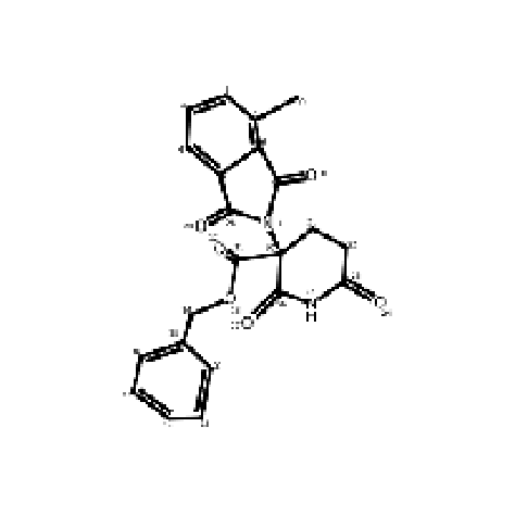 Cc1cccc2c1C(=O)N([C@@]1(C(=O)OCc3ccccc3)CCC(=O)NC1=O)C2=O